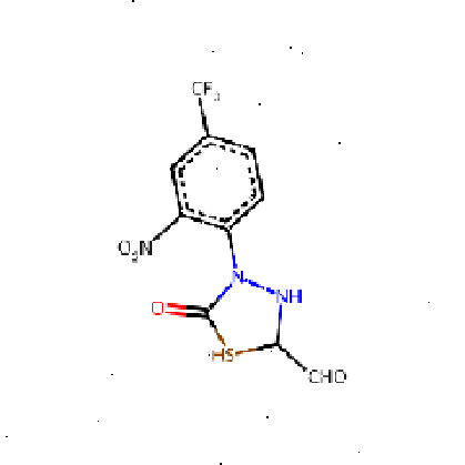 O=CC1NN(c2ccc(C(F)(F)F)cc2[N+](=O)[O-])C(=O)[SH]1